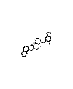 COc1ccc(F)c(CN2CCO[C@@H](C(=O)N(Cc3cccc4cccnc34)CC(C)C)C2)c1